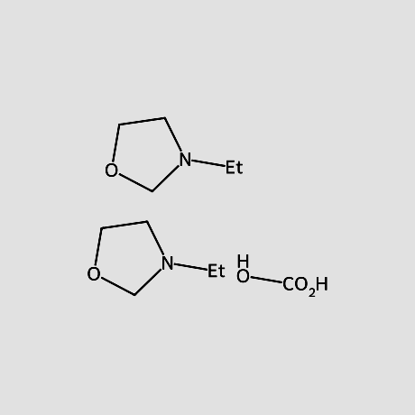 CCN1CCOC1.CCN1CCOC1.O=C(O)O